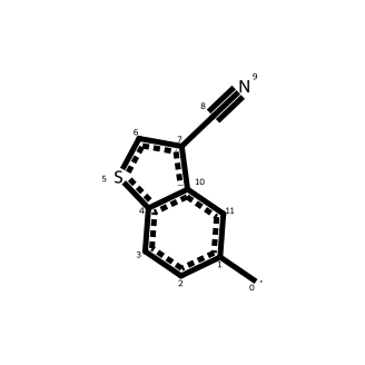 [CH2]c1ccc2scc(C#N)c2c1